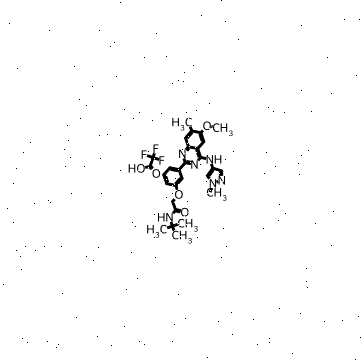 COc1cc2c(Nc3cnn(C)c3)nc(-c3cccc(OCC(=O)NC(C)(C)C)c3)nc2cc1C.O=C(O)C(F)(F)F